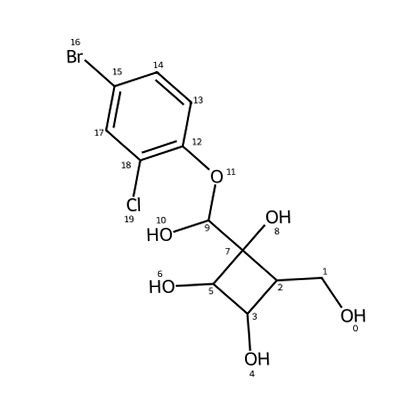 OCC1C(O)C(O)C1(O)C(O)Oc1ccc(Br)cc1Cl